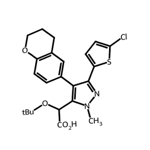 Cn1nc(-c2ccc(Cl)s2)c(-c2ccc3c(c2)CCCO3)c1C(OC(C)(C)C)C(=O)O